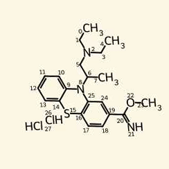 CCN(CC)CC(C)N1c2ccccc2Sc2ccc(C(=N)OC)cc21.Cl.Cl